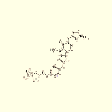 Cc1c2c(=O)n(Cc3ccn(C)n3)ncc2c2sc(CC(=N)/C=C\NCOCC[Si](C)(C)C)cn12